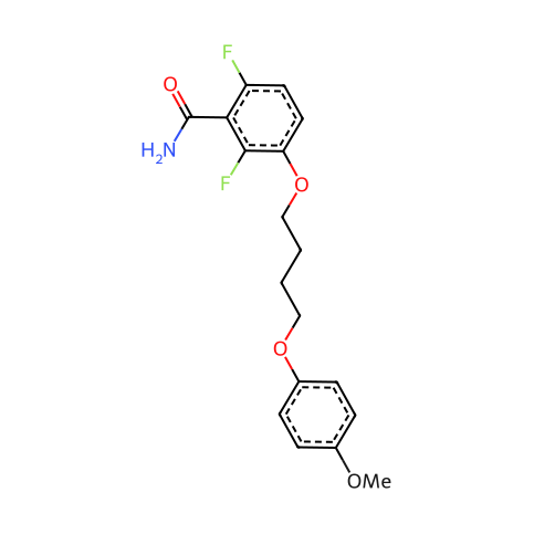 COc1ccc(OCCCCOc2ccc(F)c(C(N)=O)c2F)cc1